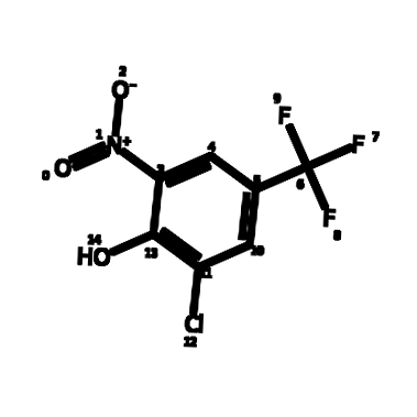 O=[N+]([O-])c1cc(C(F)(F)F)cc(Cl)c1O